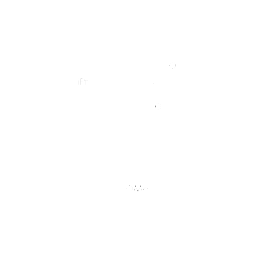 COc1ccc2c(C(C)C)cc(=O)oc2c1